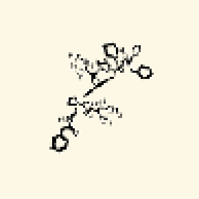 CN[C@@H](C)C(=O)N[C@@H](CC#CC#CC[C@H](NC(=O)[C@H](C)NC)C(=O)N1CCC[C@H]1CNC(=O)Cc1ccccc1)C(=O)N1CCC[C@H]1CNC(=O)Cc1ccccc1